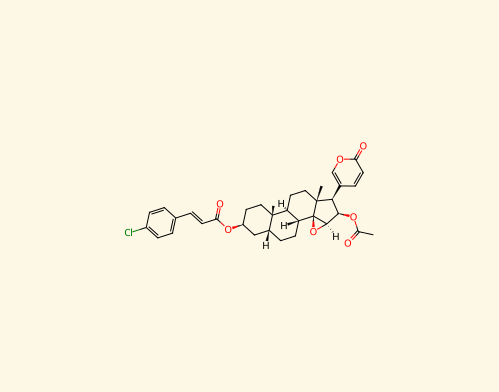 CC(=O)O[C@H]1[C@H]2O[C@]23[C@@H]2CC[C@@H]4C[C@@H](OC(=O)/C=C/c5ccc(Cl)cc5)CC[C@]4(C)[C@H]2CC[C@]3(C)[C@H]1c1ccc(=O)oc1